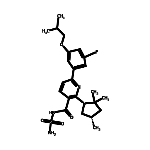 CC(C)COc1cc(F)cc(-c2ccc(C(=O)NS(N)(=O)=O)c(N3C[C@@H](C)CC3(C)C)n2)c1